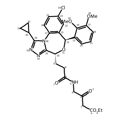 CCOC(=O)CC(=O)CNC(=O)CC[C@H]1O[C@H](c2cccc(OC)c2OC)c2cc(Cl)ccc2-n2c(C3CC3)nnc21